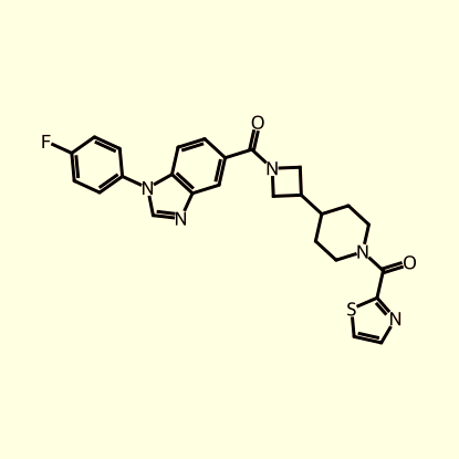 O=C(c1ccc2c(c1)ncn2-c1ccc(F)cc1)N1CC(C2CCN(C(=O)c3nccs3)CC2)C1